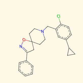 Clc1ccc(C2CC2)cc1CN1CCC2(CC1)CC(c1ccccc1)=NO2